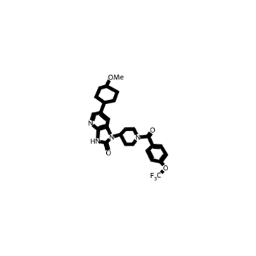 COC1CCC(c2cnc3[nH]c(=O)n(C4CCN(C(=O)c5ccc(OC(F)(F)F)cc5)CC4)c3c2)CC1